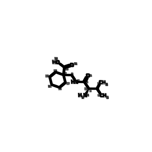 CC(C)[C@H](N)C(=O)NCC1(C(=O)O)CCCCC1